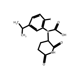 CC(C)c1ccc(I)c(N(C(=O)O)C2CCC(=O)NC2=O)c1